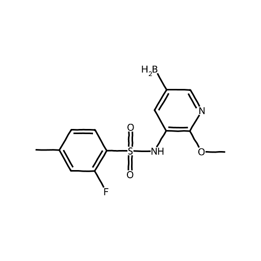 Bc1cnc(OC)c(NS(=O)(=O)c2ccc(C)cc2F)c1